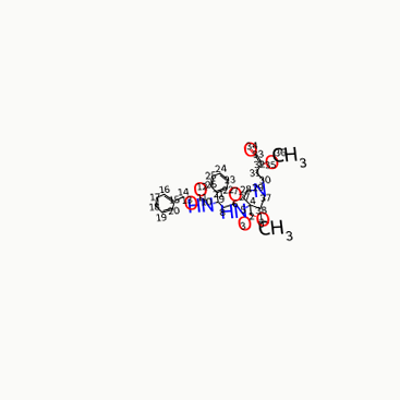 COC(=O)C1(NC(=O)CC(NC(=O)OCc2ccccc2)c2ccccc2)CCN(CCC(=C=O)OC)CC1